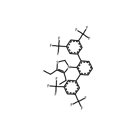 CCC1=C(CC)N(c2c(-c3cc(C(F)(F)F)cc(C(F)(F)F)c3)cccc2-c2cc(C(F)(F)F)cc(C(F)(F)F)c2)CS1